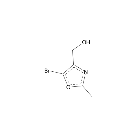 Cc1nc(CO)c(Br)o1